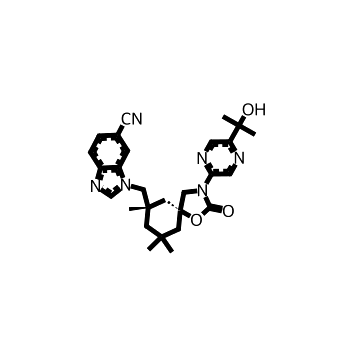 CC1(C)C[C@](C)(Cn2cnc3ccc(C#N)cc32)C[C@@]2(CN(c3cnc(C(C)(C)O)cn3)C(=O)O2)C1